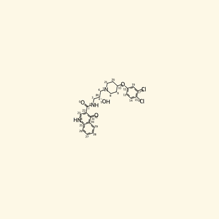 O=C(NC[C@@H](O)CN1CCC(Oc2ccc(Cl)c(Cl)c2)CC1)c1c[nH]c2ccccc2c1=O